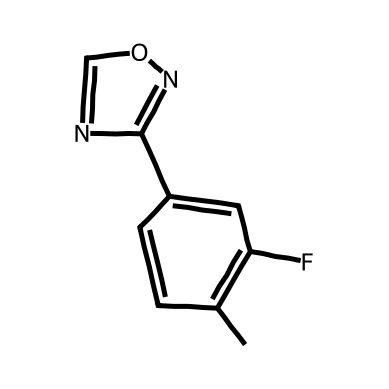 Cc1ccc(-c2ncon2)cc1F